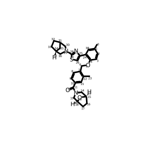 Cc1ccc(OCc2ccc(C(=O)N3C[C@H]4CC[C@@H](C3)O4)cc2C)c(-c2csc(N3CC4CC[C@H](C4)C3)n2)c1